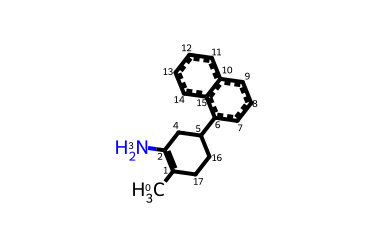 CC1=C(N)CC(c2cccc3ccccc23)CC1